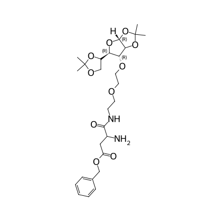 CC1(C)OCC([C@H]2O[C@@H]3OC(C)(C)OC3[C@@H]2OCCOCCNC(=O)C(N)CC(=O)OCc2ccccc2)O1